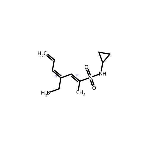 BCC(=C/C=C)/C=C(\C)S(=O)(=O)NC1CC1